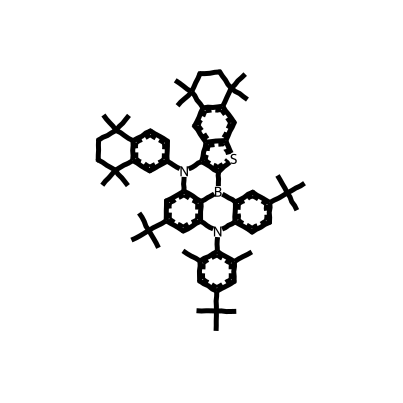 Cc1cc(C(C)(C)C)cc(C)c1N1c2ccc(C(C)(C)C)cc2B2c3sc4cc5c(cc4c3N(c3ccc4c(c3)C(C)(C)CCC4(C)C)c3cc(C(C)(C)C)cc1c32)C(C)(C)CCC5(C)C